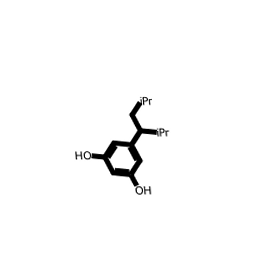 CC(C)CC(c1cc(O)cc(O)c1)C(C)C